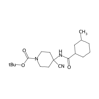 CC1CCCC(C(=O)NC2(C#N)CCN(C(=O)OC(C)(C)C)CC2)C1